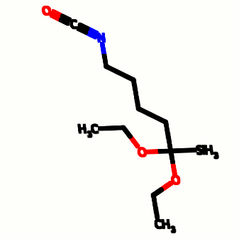 CCOC([SiH3])(CCCCN=C=O)OCC